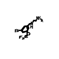 CCc1cc(CNCCN)cc(OC(F)(F)F)c1